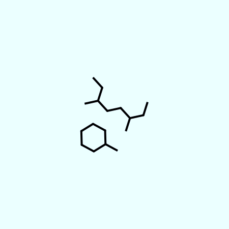 CC1CCCCC1.CCC(C)CCC(C)CC